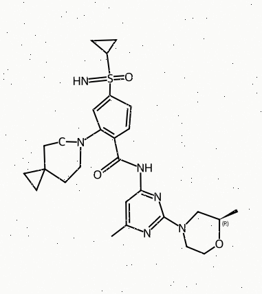 Cc1cc(NC(=O)c2ccc(S(=N)(=O)C3CC3)cc2N2CCC3(CC2)CC3)nc(N2CCO[C@H](C)C2)n1